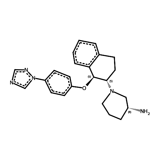 N[C@@H]1CCCN([C@H]2CCc3ccccc3[C@@H]2Oc2ccc(-n3cncn3)cc2)C1